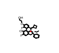 CCC[C@]1(c2ccccc2)Cc2cc(F)c(Cl)c(-c3c(C(NC)=C4CCC4)ccc(OCCO)c3F)c2C1